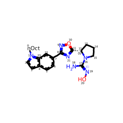 CCCCCCCCn1ccc2ccc(-c3noc([C@@H]4CCCN4/C(N)=N/O)n3)cc21